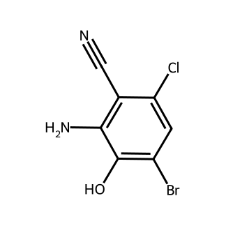 N#Cc1c(Cl)cc(Br)c(O)c1N